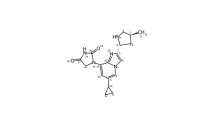 C[C@@H]1CN[C@@H](c2cn3cc(C4CC4)cc(N4CC(=O)NC4=O)c3n2)C1